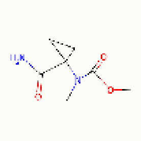 COC(=O)N(C)C1(C(N)=O)CC1